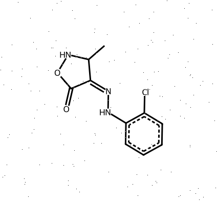 CC1NOC(=O)C1=NNc1ccccc1Cl